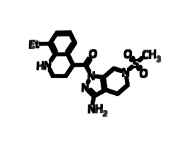 CCc1cccc2c1NCCC2C(=O)n1nc(N)c2c1CN(S(C)(=O)=O)CC2